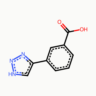 O=C(O)c1cccc(-c2c[nH]nn2)c1